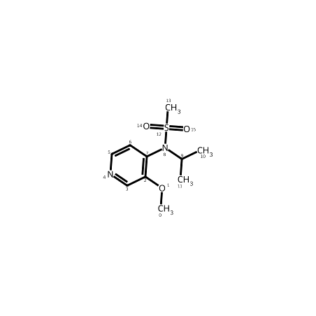 COc1cnccc1N(C(C)C)S(C)(=O)=O